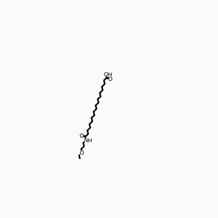 CCOCCCNC(=O)CCCCCCCCCCCCCCCCCCC(=O)O